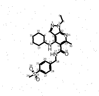 CCn1ncc2c(NC3CCCCC3)c(C(=O)NCc3ccc(S(C)(=O)=O)cc3)c(C)nc21